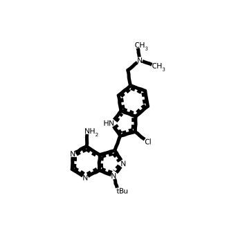 CN(C)Cc1ccc2c(Cl)c(-c3nn(C(C)(C)C)c4ncnc(N)c34)[nH]c2c1